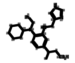 CC(C)CN(c1ccc(C(C)CC(=O)O)cc1NCc1c[nH]cn1)C1CCCCC1